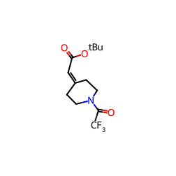 CC(C)(C)OC(=O)C=C1CCN(C(=O)C(F)(F)F)CC1